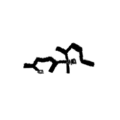 C=C/C=C\C(=C)[SH](C)(=O)C(=C)/C=C\C(=C)Cl